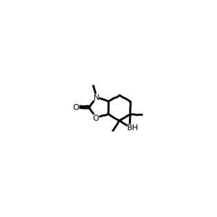 CN1C(=O)OC2C1CCC1(C)BC21C